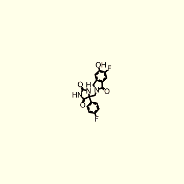 O=C1NC(=O)C(CN2Cc3cc(O)c(F)cc3C2=O)(c2ccc(F)cc2)N1